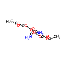 CCCCc1ccc(OC(=O)/C=C/c2ccc(OCCCCCCOC(=O)C(Cc3ccc(N)cc3)(Cc3ccc(N)cc3)C(=O)OCCCCCCOc3ccc(/C=C/C(=O)Oc4ccc(CCCC)cc4)cc3)cc2)cc1